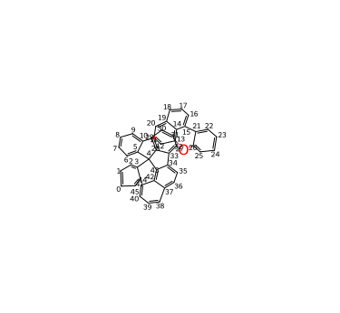 c1ccc(C2(c3ccccc3-c3cc4c5c(cccc5c3)-c3ccccc3O4)c3ccccc3-c3ccc4ccccc4c32)cc1